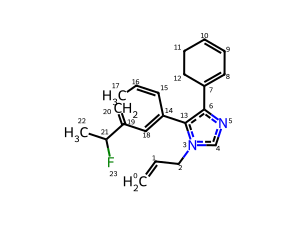 C=CCn1cnc(C2=CC=CCC2)c1C(/C=C\C)=C/C(=C)C(C)F